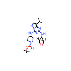 CC(C)c1cnn2c(NC3CCN(C(=O)OC(C)(C)C)CC3)nc(NC3[C@H]4COC[C@@H]34)nc12